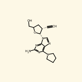 C#C[C@H]1CC(CO)O[C@H]1n1cnc2c(N3CCCC3)nc(N)nc21